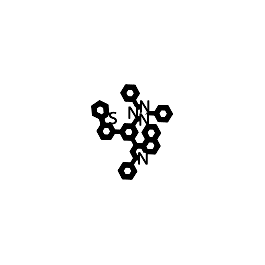 c1ccc(-c2cc(-c3cc(-c4nc(-c5ccccc5)nc(-c5ccccc5)n4)cc(-c4cccc5c4sc4ccccc45)c3)c3c(ccc4ccccc43)n2)cc1